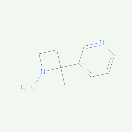 CC1(c2cccnc2)CCN1C(=O)O